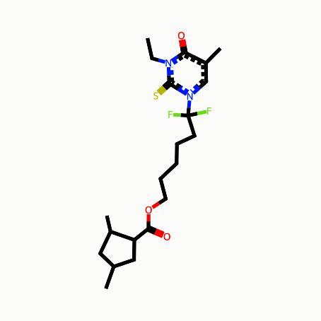 CCn1c(=O)c(C)cn(C(F)(F)CCCCCOC(=O)C2CC(C)CC2C)c1=S